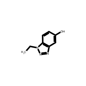 CCn1nnc2cc(O)ccc21